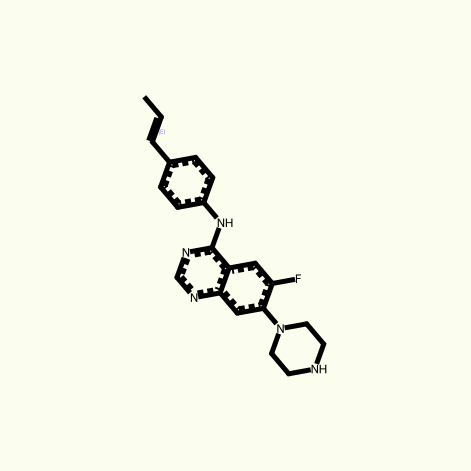 C/C=C/c1ccc(Nc2ncnc3cc(N4CCNCC4)c(F)cc23)cc1